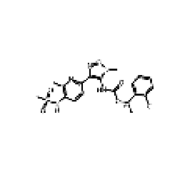 Cc1nc(-c2nnn(C)c2NC(=O)O[C@H](C)c2ccccc2Cl)ccc1NS(C)(=O)=O